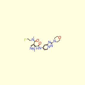 CN(CCF)C(=O)c1cnn(C)c1C(=O)Nc1ccn2nc(N3CCOCC3)nc2c1